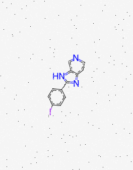 Ic1ccc(-c2nc3ccncc3[nH]2)cc1